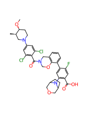 CO[C@H]1CCN(c2cc(Cl)c(C(=O)N3COc4c(cccc4-c4cc(N5C6CCC5COC6)c(C(=O)O)cc4F)C3)c(Cl)c2)C[C@H]1C